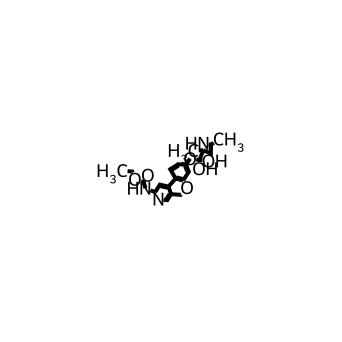 CCOC(=O)Nc1cc2c(cn1)COc1cc(OC(O)(O)C3(C)CC(C)N3)ccc1-2